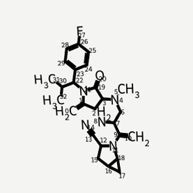 C=C1CC(N(C)CC(N)C(=C)N2C(C#N)CC3CC32)C(=O)N1C(c1ccc(F)cc1)C(C)C